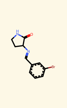 O=C1NCCC1N=Cc1cccc(Br)c1